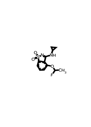 CC(F)Oc1cccc2c1C(NC1CC1)=NS2(=O)=O